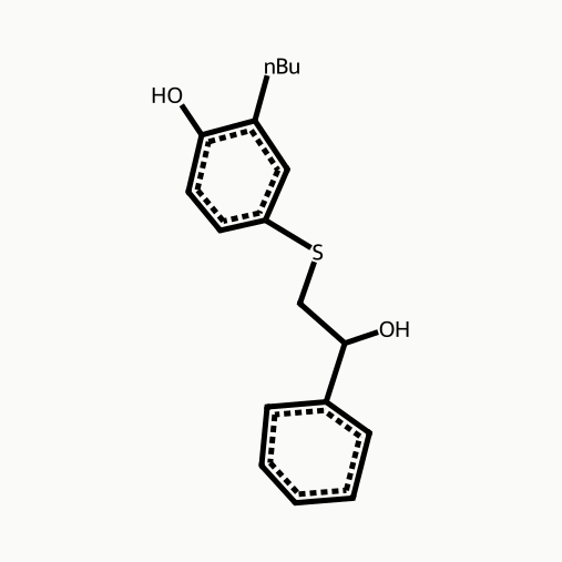 CCCCc1cc(SCC(O)c2ccccc2)ccc1O